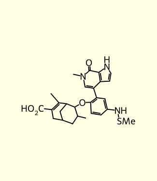 CSNc1ccc(OC2C(C)CC3CC(C(=O)O)=C(C)C2C3)c(-c2cn(C)c(=O)c3[nH]ccc23)c1